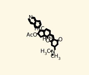 CC(=O)OC1C[C@H]2[C@@H]3OC4=C(C=C3C=C[C@]2(C)[C@H]1c1ccc2cnccc2c1)C(=O)CC(CN(C)C)C4